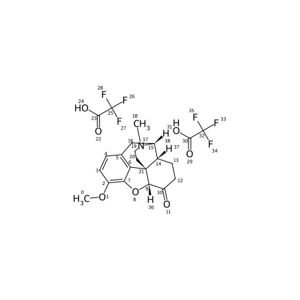 COc1ccc2c3c1O[C@H]1C(=O)CC[C@H]4[C@@H](C2)N(C)CC[C@]314.O=C(O)C(F)(F)F.O=C(O)C(F)(F)F